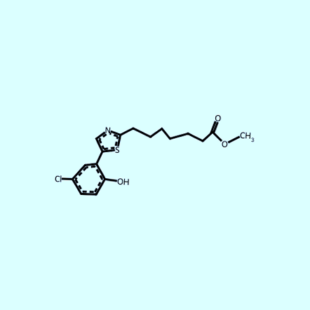 COC(=O)CCCCCCc1ncc(-c2cc(Cl)ccc2O)s1